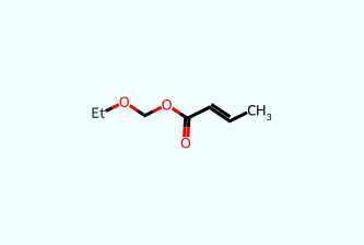 CC=CC(=O)OCOCC